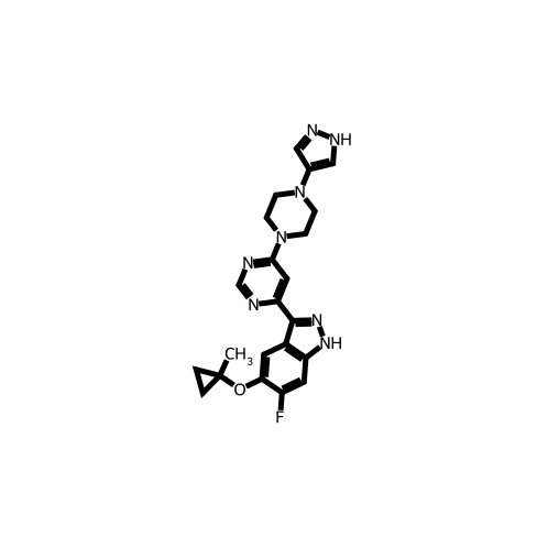 CC1(Oc2cc3c(-c4cc(N5CCN(c6cn[nH]c6)CC5)ncn4)n[nH]c3cc2F)CC1